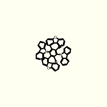 N#Cc1c(-c2cccc3oc4ccccc4c23)c(-n2c3ccccc3c3ccccc32)c(-c2cccc3oc4ccccc4c23)c(C#N)c1-n1c2ccccc2c2ccccc21